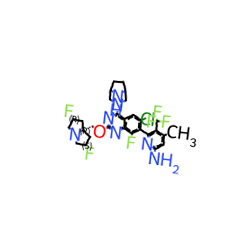 Cc1cc(N)nc(-c2c(Cl)cc3c(N4CC5CCC(C4)N5)nc(OC[C@]45C[C@H](F)CN4C[C@H](F)C5)nc3c2F)c1C(F)(F)F